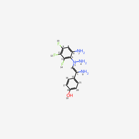 N/C(=C\N(N)c1c(N)cc(F)c(F)c1F)c1ccc(O)cc1